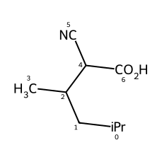 CC(C)CC(C)C(C#N)C(=O)O